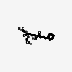 CCOP(=O)(CCCN(O)C(=O)CCCc1ccccc1)OCC